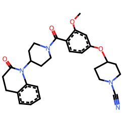 COc1cc(OC2CCN(C#N)CC2)ccc1C(=O)N1CCC(N2C(=O)CCc3ccccc32)CC1